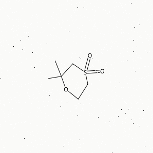 CC1(C)CS(=O)(=O)CCO1